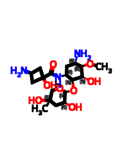 CO[C@H]1[C@H](O)[C@@H](O[C@H]2OC[C@](C)(O)C[C@H]2O)[C@H](NC(=O)C2(O)CC(N)C2)C[C@@H]1N